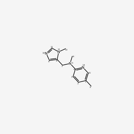 Cc1ccc(N(C)Cc2cncn2C)nc1